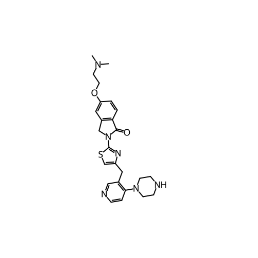 CN(C)CCOc1ccc2c(c1)CN(c1nc(Cc3cnccc3N3CCNCC3)cs1)C2=O